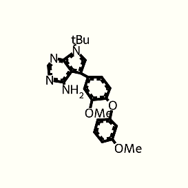 COc1cccc(Oc2ccc(-c3cn(C(C)(C)C)c4ncnc(N)c34)cc2OC)c1